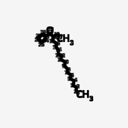 CCCCCCCCCCCCCCCCCCC(CC)C(=O)c1ccccc1